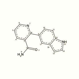 NC(=O)c1cccnc1-c1ccc2[nH]ccc2c1